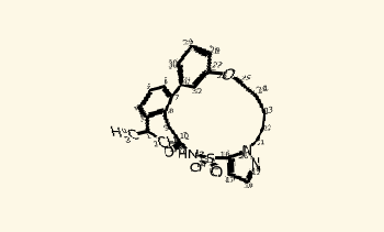 CC(C)c1cccc2c1CC(=O)NS(=O)(=O)c1ccnn1CCCCCOc1cccc-2c1